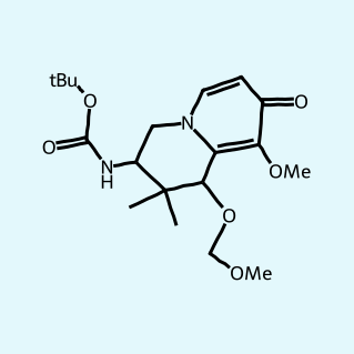 COCOC1c2c(OC)c(=O)ccn2CC(NC(=O)OC(C)(C)C)C1(C)C